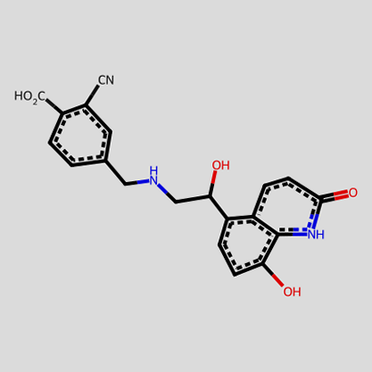 N#Cc1cc(CNCC(O)c2ccc(O)c3[nH]c(=O)ccc23)ccc1C(=O)O